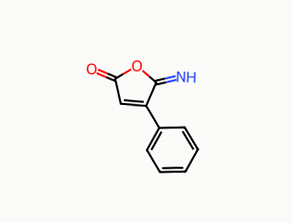 N=C1OC(=O)C=C1c1ccccc1